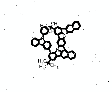 CC(C)(C)c1cc(-c2ccc3c(c2)c2ccccc2n3-c2ccccc2)c2c(c1)c1cc3ccccc3c3c4cc5c(cc4n2c13)c1cc(C(C)(C)C)cc2c3cc4ccccc4cc3n5c21